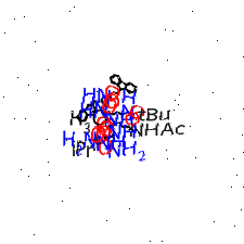 CC(=O)NCCCC[C@H](NC(=O)[C@](C)(CCCCNC(=O)OC(C)(C)C)NC(=O)[C@H](Cc1ccc2ccccc2c1)NC(=O)OCC1c2ccccc2-c2ccccc21)C(=O)N[C@@H](CC(N)=O)C(=O)N[C@H](CC(C)C)C(N)=O